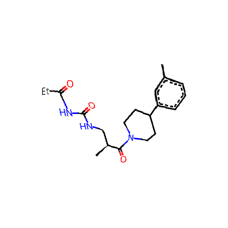 CCC(=O)NC(=O)NC[C@H](C)C(=O)N1CCC(c2cccc(C)c2)CC1